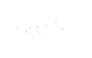 COC(=O)CCCC(CCC(=O)N(C)Cc1c(C)c(C)c(C)c(C)c1C)[C@H]1NC[C@@H](C)[C@H]1C